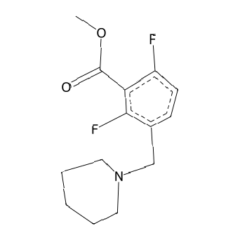 COC(=O)c1c(F)ccc(CN2CCCCC2)c1F